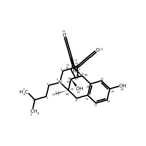 CC(C)CCN1CC[C@]23CC(=O)NC(=O)NCC[C@@]2(O)[C@H]1Cc1ccc(O)cc13